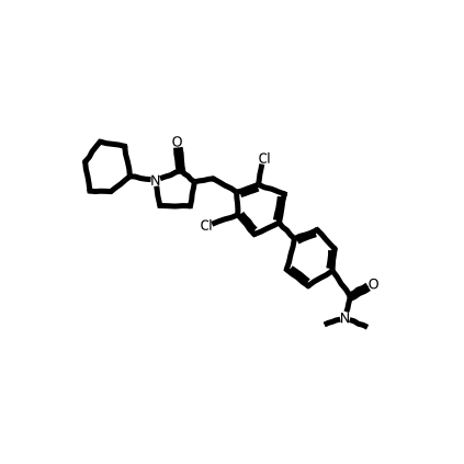 CN(C)C(=O)c1ccc(-c2cc(Cl)c(CC3CCN(C4CCCCC4)C3=O)c(Cl)c2)cc1